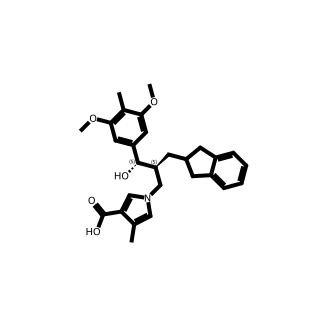 COc1cc([C@@H](O)[C@@H](CC2Cc3ccccc3C2)Cn2cc(C)c(C(=O)O)c2)cc(OC)c1C